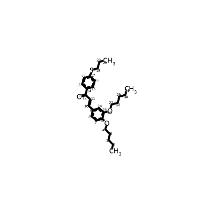 CCCCCOc1ccc(C=CC(=O)c2ccc(SCCC)cc2)cc1OCCCCC